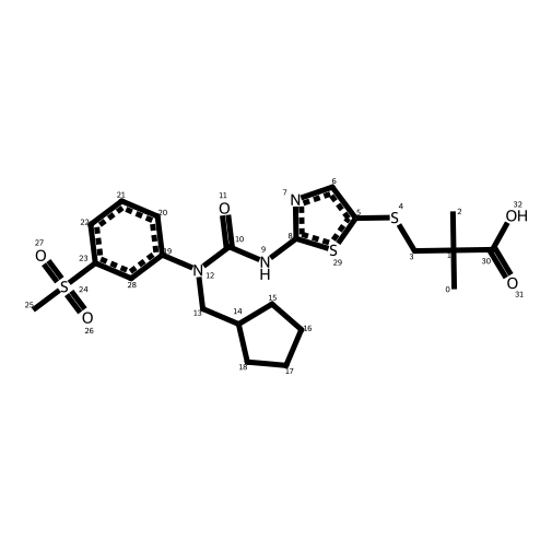 CC(C)(CSc1cnc(NC(=O)N(CC2CCCC2)c2cccc(S(C)(=O)=O)c2)s1)C(=O)O